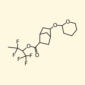 CC(F)(F)C(OC(=O)C1CC2CC1CC2OC1CCCCO1)C(F)(F)F